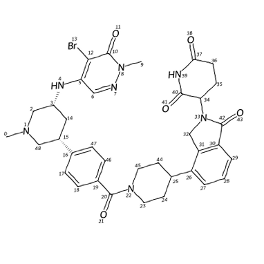 CN1C[C@H](Nc2cnn(C)c(=O)c2Br)C[C@H](c2ccc(C(=O)N3CCC(c4cccc5c4CN(C4CCC(=O)NC4=O)C5=O)CC3)cc2)C1